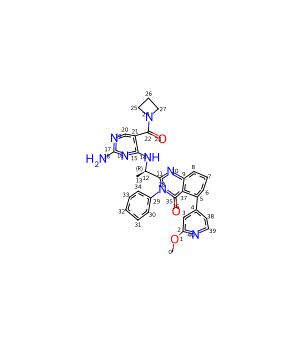 COc1cc(-c2cccc3nc([C@@H](C)Nc4nc(N)ncc4C(=O)N4CCC4)n(-c4ccccc4)c(=O)c23)ccn1